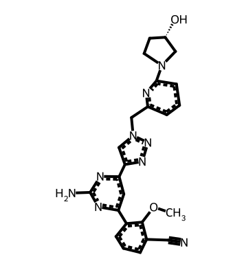 COc1c(C#N)cccc1-c1cc(-c2cn(Cc3cccc(N4CC[C@H](O)C4)n3)nn2)nc(N)n1